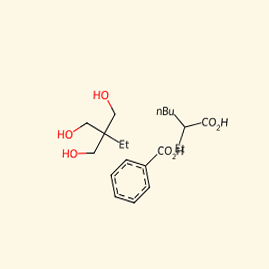 CCC(CO)(CO)CO.CCCCC(CC)C(=O)O.O=C(O)c1ccccc1